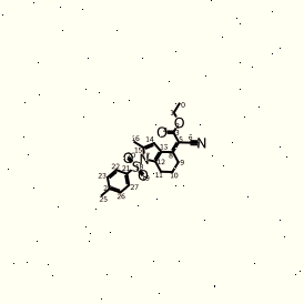 CCOC(=O)C(C#N)=C1CCCc2c1cc(C)n2S(=O)(=O)c1ccc(C)cc1